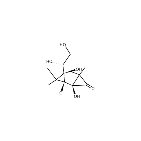 CC1(C)C(=O)[C@]1(O)[C@]1(O)C(C)(C)[C@]1(O)[C@H](O)CO